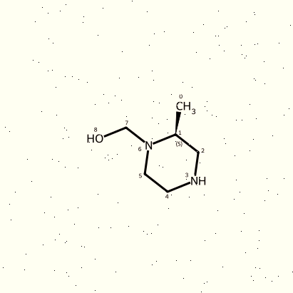 C[C@H]1CNCCN1CO